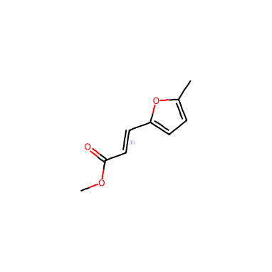 COC(=O)/C=C/c1ccc(C)o1